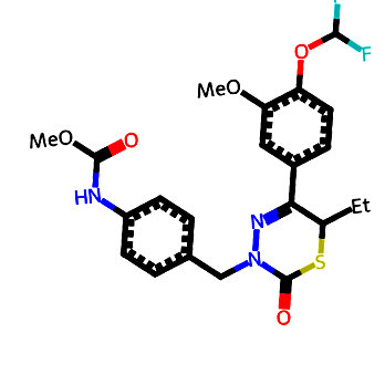 CCC1SC(=O)N(Cc2ccc(NC(=O)OC)cc2)N=C1c1ccc(OC(F)F)c(OC)c1